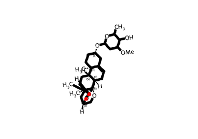 COC1CC(O[C@H]2CC[C@@]3(C)C(=CC[C@@H]4[C@@H]3CC[C@]3(C)C[C@H]5CO[C@@]43O[C@@H](C)CO5)C2)OC(C)C1O